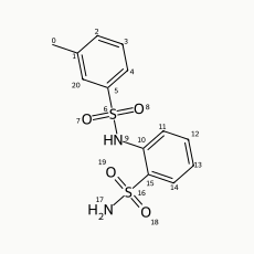 Cc1cccc(S(=O)(=O)Nc2ccccc2S(N)(=O)=O)c1